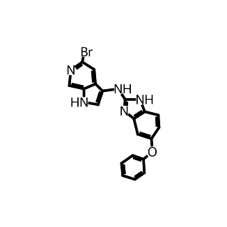 Brc1cc2c(Nc3nc4cc(Oc5ccccc5)ccc4[nH]3)c[nH]c2cn1